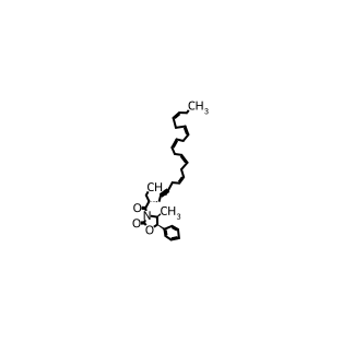 CC/C=C\C/C=C\C/C=C\C/C=C\C/C=C\CC#CC[C@@H](CC)C(=O)N1C(=O)O[C@H](c2ccccc2)[C@@H]1C